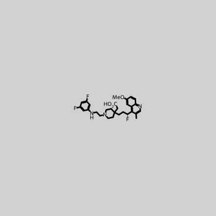 COc1ccc2ncc(C)c([C@H](F)CCC3(CC(=O)O)CCN(CCNc4cc(F)cc(F)c4)CC3)c2c1